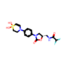 O=C(NC[C@H]1CN(c2ccc(N3C=CS(O)(O)CC3)cc2)C(=O)O1)C(F)F